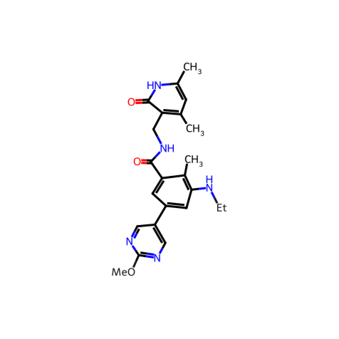 CCNc1cc(-c2cnc(OC)nc2)cc(C(=O)NCc2c(C)cc(C)[nH]c2=O)c1C